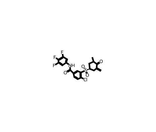 C=C1C[C@@H](S(=O)(=O)c2cc(C(=O)Nc3cc(F)c(F)c(F)c3)ccc2Cl)CC(C)C1=O